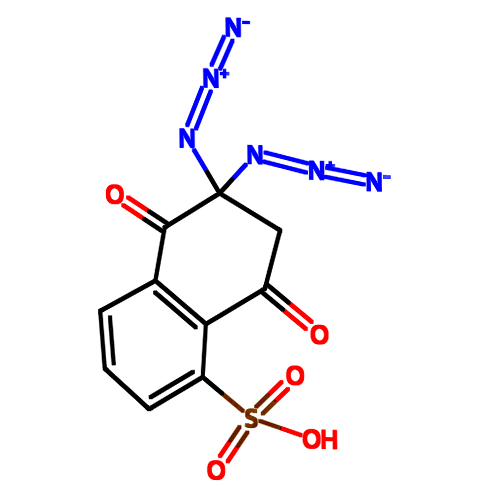 [N-]=[N+]=NC1(N=[N+]=[N-])CC(=O)c2c(cccc2S(=O)(=O)O)C1=O